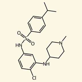 CC(C)c1ccc(S(=O)(=O)Nc2ccc(Cl)c(NC3CCN(C)CC3)c2)cc1